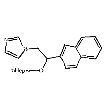 CCCCCCCOC(Cn1ccnc1)c1ccc2ccccc2c1